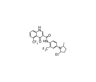 CCC1CCC(C)N1c1ccc(NC(=O)c2c[nH]c3cccc(C(F)(F)F)c3c2=O)c(C(F)(F)F)c1